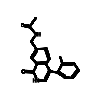 CC(=O)NCc1ccc2c(-c3ccccc3C)c[nH]c(=O)c2c1